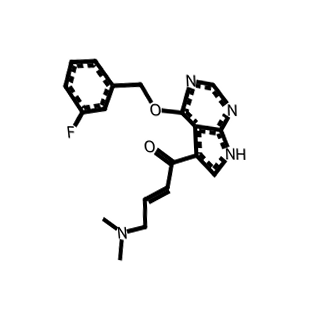 CN(C)C/C=C/C(=O)c1c[nH]c2ncnc(OCc3cccc(F)c3)c12